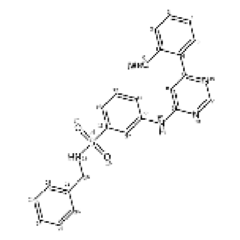 COc1ccccc1-c1cc(Nc2cccc(S(=O)(=O)NCc3ccccc3)c2)ncn1